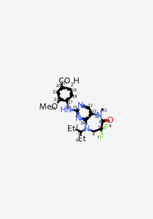 CCC(CC)N1CC(F)(F)C(=O)N(C)c2cnc(Nc3ccc(C(=O)O)cc3OC)nc21